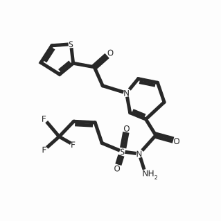 NN(C(=O)C1=CN(CC(=O)c2cccs2)C=CC1)S(=O)(=O)CC=CC(F)(F)F